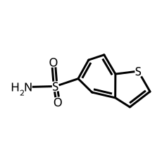 NS(=O)(=O)c1ccc2sccc2c1